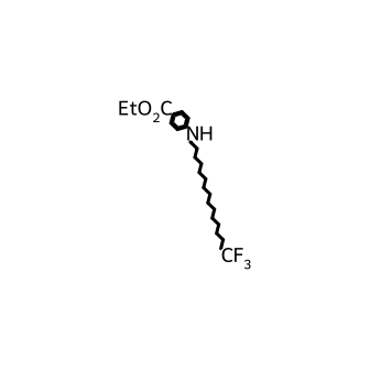 CCOC(=O)c1ccc(NCCCCCCCCCCCCCCCC(F)(F)F)cc1